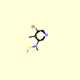 Cc1c(Br)cncc1N(C)SI